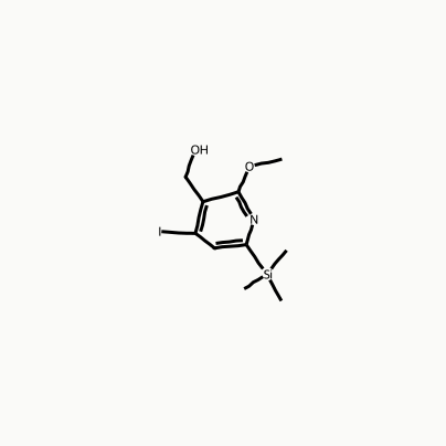 COc1nc([Si](C)(C)C)cc(I)c1CO